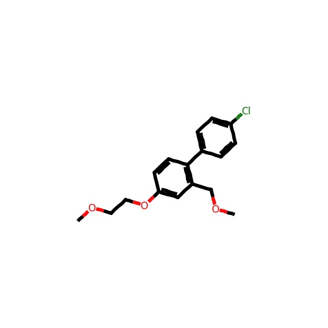 COCCOc1ccc(-c2ccc(Cl)cc2)c(COC)c1